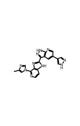 Cc1cn(-c2nccc3[nH]c(-c4n[nH]c5ncc(-c6cn[nH]c6)cc45)nc23)cn1